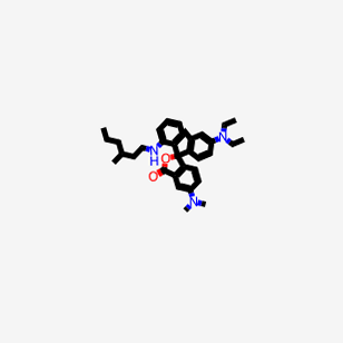 CCCC(C)CCNc1ccccc1C1(c2ccc(N(CC)CC)cc2C)OC(=O)c2cc(N(C)C)ccc21